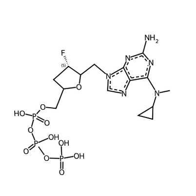 CN(c1nc(N)nc2c1ncn2CC1OC(COP(=O)(O)OP(=O)(O)OP(=O)(O)O)C[C@@H]1F)C1CC1